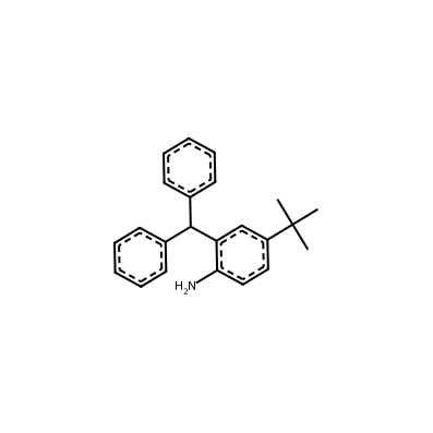 CC(C)(C)c1ccc(N)c(C(c2ccccc2)c2ccccc2)c1